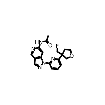 CC(=O)Nc1cc2c(cn1)cnn2-c1cccc(C2(CF)CCOC2)n1